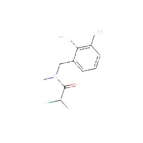 COc1cccc(CN(C(=O)C(Cl)Cl)C(C)C)c1OC